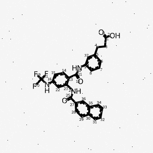 O=C(O)CCc1cccc(NC(=O)c2ccc(NC(F)(F)F)cc2NC(=O)c2ccc3ccccc3c2)c1